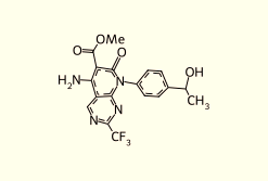 COC(=O)c1c(N)c2cnc(C(F)(F)F)nc2n(-c2ccc(C(C)O)cc2)c1=O